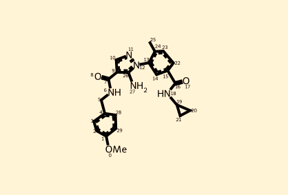 COc1ccc(CNC(=O)c2cnn(-c3cc(C(=O)NC4CC4)ccc3C)c2N)cc1